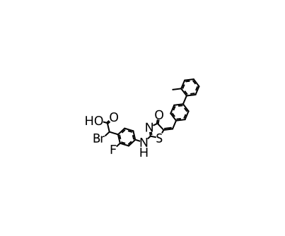 Cc1ccccc1-c1ccc(C=C2SC(Nc3ccc(C(Br)C(=O)O)c(F)c3)=NC2=O)cc1